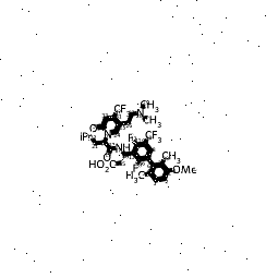 COc1ccc(C)c(-c2cc(C(F)(F)F)c(F)c([C@H](CC(=O)O)NC(=O)C(CC(C)C)n3cc(CCN(C)C)c(C(F)(F)F)cc3=O)c2F)c1C